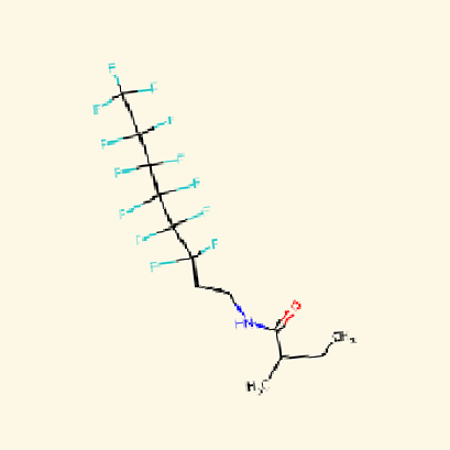 CCC(C)C(=O)NCCC(F)(F)C(F)(F)C(F)(F)C(F)(F)C(F)(F)C(F)(F)F